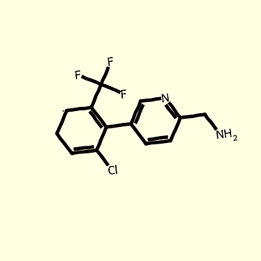 NCc1ccc(C2=C(C(F)(F)F)[CH]CC=C2Cl)cn1